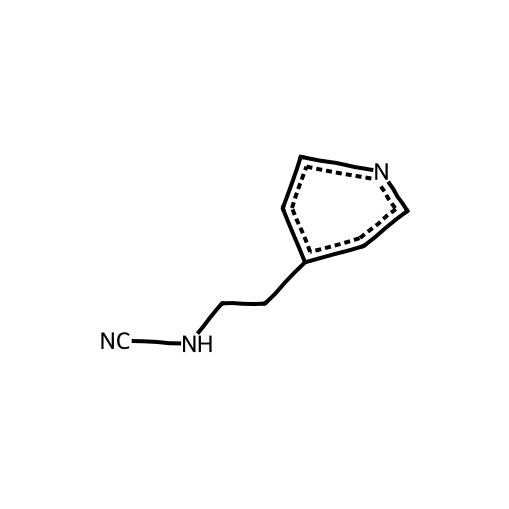 N#CNCCc1ccncc1